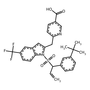 C=CC(c1cccc(C(C)(C)C)c1)S(=O)(=O)n1c(Cc2ccc(C(=O)O)cn2)cc2cc(C(F)(F)F)ccc21